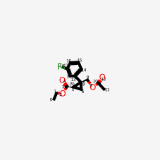 CCOC(=O)[C@H]1C[C@@]1(COC(C)=O)c1cccc(F)c1